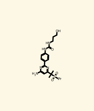 CC(C)S(=O)(=O)C(C)(C)c1cc(N)nc(-c2ccc(NC(=O)NCCCO)cc2)n1